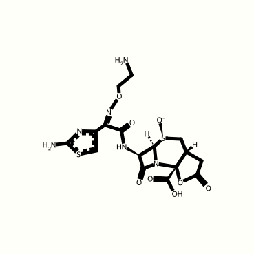 NCCO/N=C(\C(=O)N[C@@H]1C(=O)N2[C@@H]1[S@@+]([O-])C[C@@H]1CC(=O)O[C@@]12C(=O)O)c1csc(N)n1